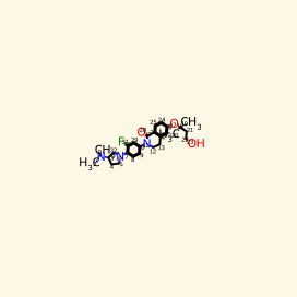 CN(C)[C@@H]1CCN(c2ccc(N3CCc4cc(OC(C)(C)CCO)ccc4C3=O)cc2F)C1